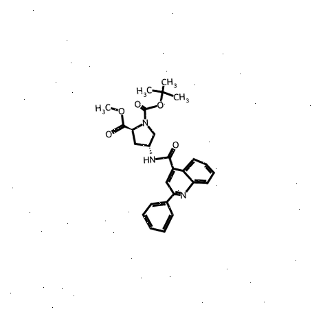 COC(=O)[C@@H]1C[C@@H](NC(=O)c2cc(-c3ccccc3)nc3ccccc23)CN1C(=O)OC(C)(C)C